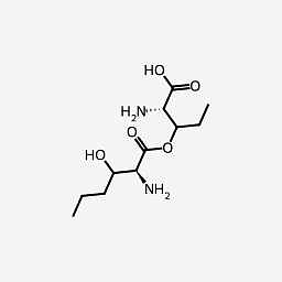 CCCC(O)[C@H](N)C(=O)OC(CC)[C@H](N)C(=O)O